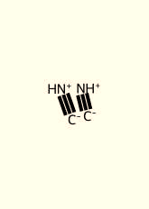 [C-]#[NH+].[C-]#[NH+]